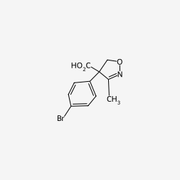 CC1=NOCC1(C(=O)O)c1ccc(Br)cc1